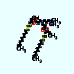 CCCCCCCCCCSSSCC(CC)OC(=O)CCN(CCCN(C)C)CCC(=O)OC(CC)CSSSCCCCCCCCCC